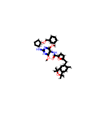 COc1nc(N[C@@H]2CCC[C@H]2OCc2ccccc2)nc(OC)c1NC(=O)c1ccc(Cc2cc3c(cc2C)C(C)(C)OC3(C)C)o1